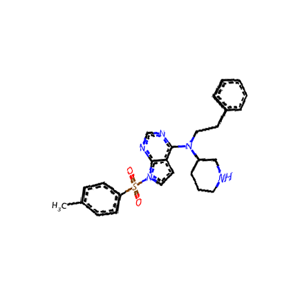 Cc1ccc(S(=O)(=O)n2ccc3c(N(CCc4ccccc4)C4CCCNC4)ncnc32)cc1